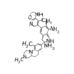 Cc1cc(C2(N)C=c3cc(-c4cnc5c(c4C)NCCO5)c(F)c(N)c3=CN2)cc2c1N1CCN(C)CC1CC2